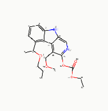 CCCOC(C)c1cccc2[nH]c3cnc(OC(=O)OCC)c(COC)c3c12